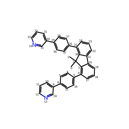 CC1(C)c2c(-c3ccc(-c4cccnc4)cc3)cccc2-c2cccc(-c3ccc(-c4cccnc4)cc3)c21